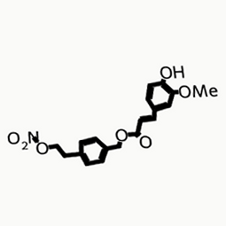 COc1cc(/C=C/C(=O)OCc2ccc(CCO[N+](=O)[O-])cc2)ccc1O